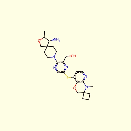 C[C@@H]1OCC2(CCN(c3ncc(Sc4ccnc5c4OCC4(CCC4)N5C)nc3CO)CC2)[C@@H]1N